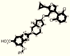 CC(C)Oc1cc(C(=O)O)cc2sc(N3CCN4C[C@H](OCc5c(-c6c(Cl)cccc6Cl)coc5C5CC5)C[C@H]4C3)nc12